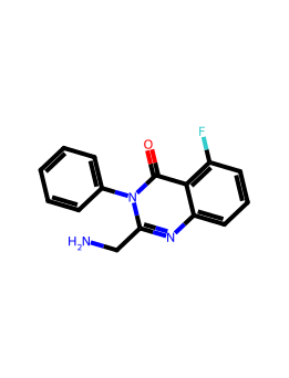 NCc1nc2cccc(F)c2c(=O)n1-c1ccccc1